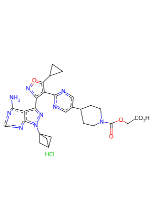 Cl.Nc1ncnc2c1c(-c1noc(C3CC3)c1-c1ncc(C3CCN(C(=O)OCC(=O)O)CC3)cn1)nn2C12CC(C1)C2